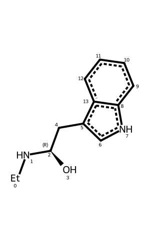 CCN[C@H](O)Cc1c[nH]c2ccccc12